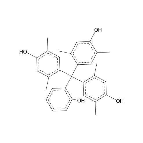 Cc1cc(C(c2cc(C)c(O)cc2C)(c2cc(C)c(O)cc2C)c2ccccc2O)c(C)cc1O